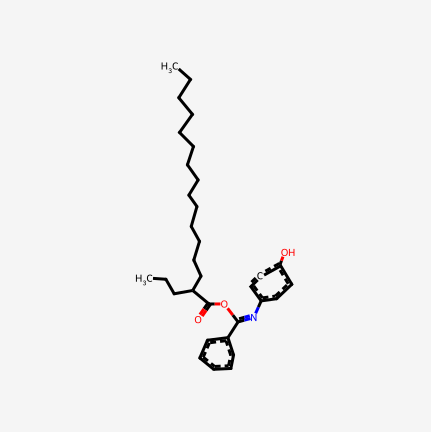 CCCCCCCCCCCCCCC(CCC)C(=O)OC(=Nc1ccc(O)cc1)c1ccccc1